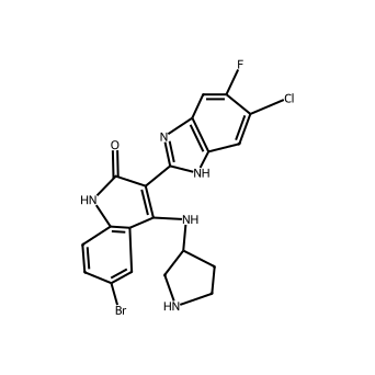 O=c1[nH]c2ccc(Br)cc2c(NC2CCNC2)c1-c1nc2cc(F)c(Cl)cc2[nH]1